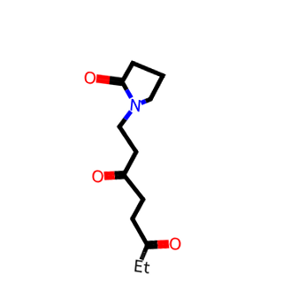 CCC(=O)CCC(=O)CCN1CCCC1=O